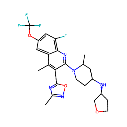 Cc1noc(-c2c(N3CCC(N[C@H]4CCOC4)CC3C)nc3c(F)cc(OC(F)(F)F)cc3c2C)n1